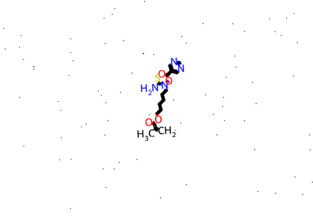 C=C(C)C(=O)OCCCCCCN(OC(=O)c1cncnc1)C(N)=S